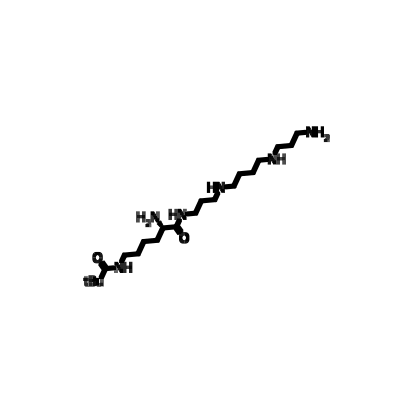 CC(C)(C)C(=O)NCCCC[C@@H](N)C(=O)NCCCNCCCCNCCCN